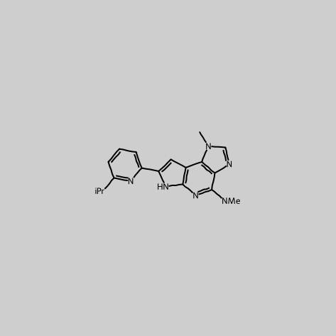 CNc1nc2[nH]c(-c3cccc(C(C)C)n3)cc2c2c1ncn2C